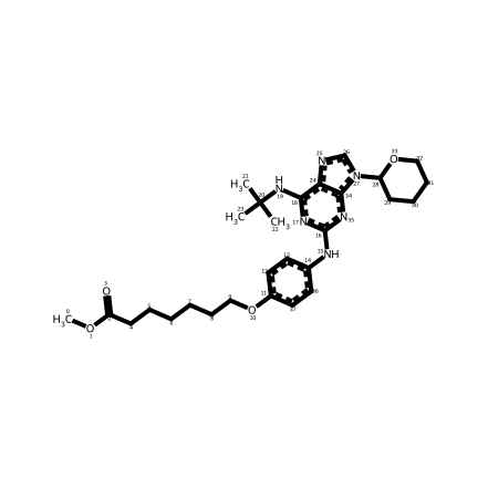 COC(=O)CCCCCCOc1ccc(Nc2nc(NC(C)(C)C)c3ncn(C4CCCCO4)c3n2)cc1